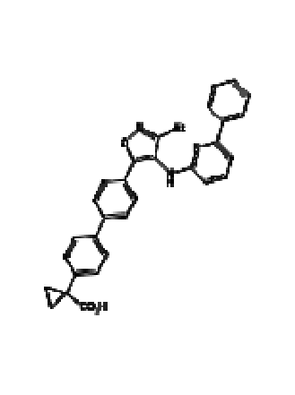 CCc1noc(-c2ccc(-c3ccc(C4(C(=O)O)CC4)cc3)cc2)c1Nc1cccc(-c2ccccc2)n1